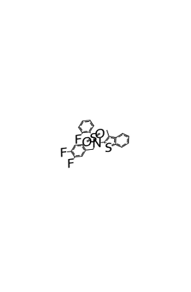 Cc1c(N(Cc2ccc(F)c(F)c2)S(=O)(=O)c2ccccc2F)sc2ccccc12